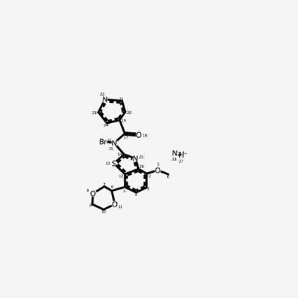 COc1ccc(C2COCCO2)c2sc(N(Br)C(=O)c3ccncc3)nc12.[H-].[Na+]